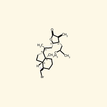 C=C1C(=O)O[C@@H](C[C@@H](C)[C@H]2CC[C@H]3/C(=C/Br)CCC[C@]23C)[C@H]1CC(C)C